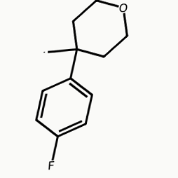 [CH2]C1(c2ccc(F)cc2)CCOCC1